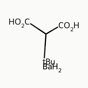 CC(C)(C)C(C(=O)O)C(=O)O.[BaH2]